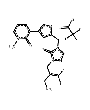 Cn1cccc(-c2csc(Cn3cnn(CC(CN)=C(F)F)c3=O)c2)c1=O.O=C(O)C(F)(F)F